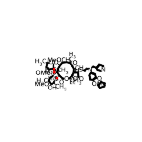 CC[C@H]1OC(=O)[C@H](C)[C@@H](O[C@H]2C[C@@](C)(OC)[C@@H](O)[C@H](C)O2)[C@H](C)[C@@H](O[C@@H]2O[C@H](C)C[C@@H](OC)[C@H]2N(C)C)[C@](C)(OC)C[C@@H](C)C(=O)[C@H](C)[C@H]2[C@H](SCCN(Cc3ccncc3)c3ccc(OC)c(OC4CCCC4)c3)C(=O)O[C@@]21C